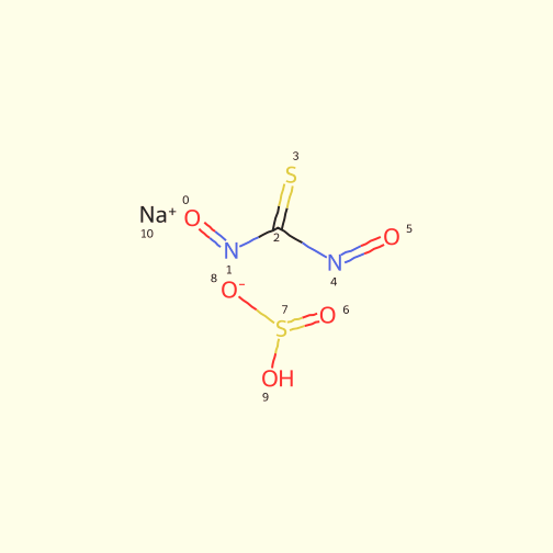 O=NC(=S)N=O.O=S([O-])O.[Na+]